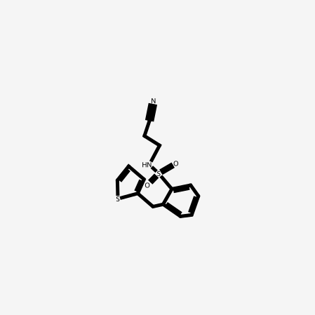 N#CCCNS(=O)(=O)c1ccccc1Cc1cccs1